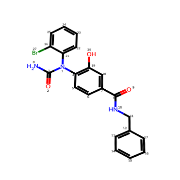 NC(=O)N(c1ccc(C(=O)NCc2ccccc2)cc1O)c1ccccc1Br